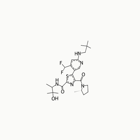 CC(NC(=O)c1nc(C(=O)N2CCC[C@@H]2C)c(-c2cnc(NCC(C)(C)C)cc2C(F)F)s1)C(C)(C)O